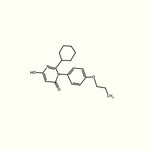 CCCOc1ccc(-n2c(C3CCCCC3)nc(O)cc2=O)cc1